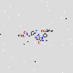 COC(=O)c1cccc(-n2c3nc(Nc4ccc5c(c4)CCN(C(=O)OC(C)(C)C)C5)ncc3c(=O)n2C(C)C)c1